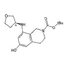 CC(C)(C)OC(=O)N1CCc2cc(O)cc(N[C@H]3CCOC3)c2C1